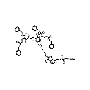 CNCC(=O)NCCCCC(NC)C(=O)NCCOCCOCC(=O)NC(CCC(=O)NC(CCC(=O)OCc1ccccc1)C(=O)OCc1ccccc1)C(=O)NC(CCC(=O)OCc1ccccc1)C(=O)OCc1ccccc1